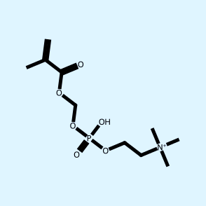 C=C(C)C(=O)OCOP(=O)(O)OCC[N+](C)(C)C